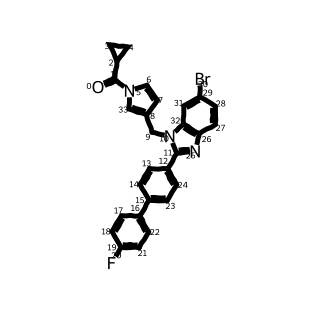 O=C(C1CC1)n1ccc(Cn2c(-c3ccc(-c4ccc(F)cc4)cc3)nc3ccc(Br)cc32)c1